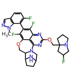 Cn1ncc2ccc(F)c(-c3c(F)c4c5c(nc(OCC67CCCN6CC(F)C7)nc5c3F)N3CC5CCC(N5)C3CO4)c21